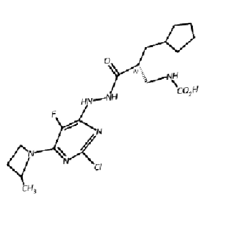 CC1CCN1c1nc(Cl)nc(NNC(=O)[C@@H](CNC(=O)O)CC2CCCC2)c1F